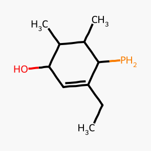 CCC1=CC(O)C(C)C(C)C1P